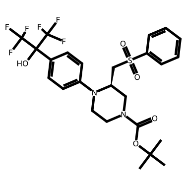 CC(C)(C)OC(=O)N1CCN(c2ccc(C(O)(C(F)(F)F)C(F)(F)F)cc2)[C@@H](CS(=O)(=O)c2ccccc2)C1